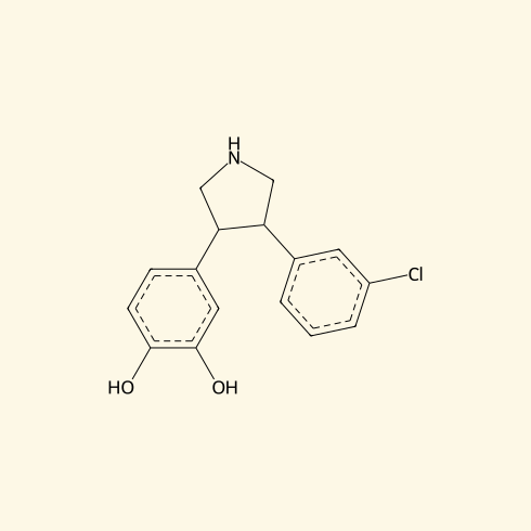 Oc1ccc(C2CNCC2c2cccc(Cl)c2)cc1O